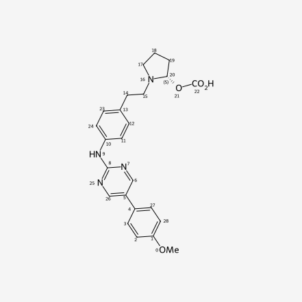 COc1ccc(-c2cnc(Nc3ccc(CCN4CCC[C@@H]4OC(=O)O)cc3)nc2)cc1